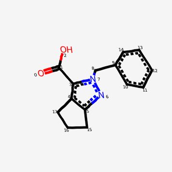 O=C(O)c1c2c(nn1Cc1ccccc1)CCC2